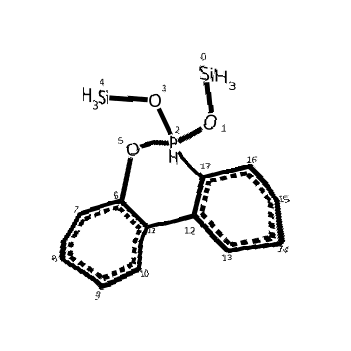 [SiH3]O[PH]1(O[SiH3])Oc2ccccc2-c2ccccc21